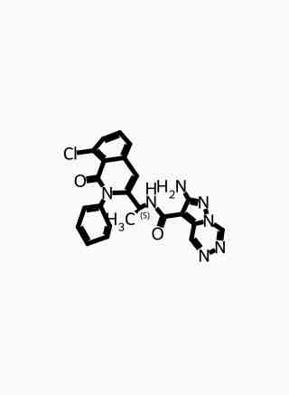 C[C@H](NC(=O)c1c(N)nn2cnncc12)c1cc2cccc(Cl)c2c(=O)n1-c1ccccc1